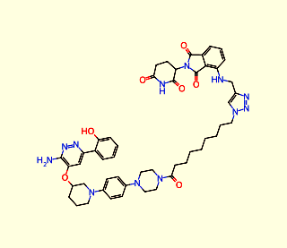 Nc1nnc(-c2ccccc2O)cc1OC1CCCN(c2ccc(N3CCN(C(=O)CCCCCCCCn4cc(CNc5cccc6c5C(=O)N(C5CCC(=O)NC5=O)C6=O)nn4)CC3)cc2)C1